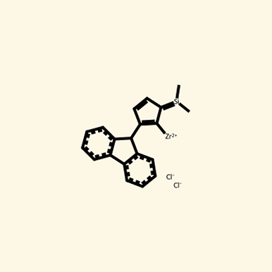 C[Si](C)=C1C=CC(C2c3ccccc3-c3ccccc32)=[C]1[Zr+2].[Cl-].[Cl-]